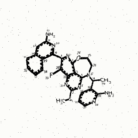 CSc1nc2c3c(nc(-c4nc(N)cc5ccccc45)c(F)c3n1)OCCN2C(C)c1cccnc1N